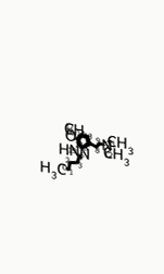 CCCCc1nc2c(CCN(C)C)ccc(OC)c2[nH]1